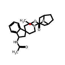 CCOC(=O)N1C2CCC1CC(N1CCC3(CC1)CC(NC(C)=O)c1ccccc13)C2